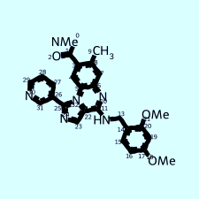 CNC(=O)c1cc2c(cc1C)nc(NCc1ccc(OC)cc1OC)c1cnc(-c3cccnc3)n12